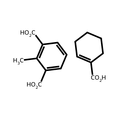 Cc1c(C(=O)O)cccc1C(=O)O.O=C(O)C1=CCCCC1